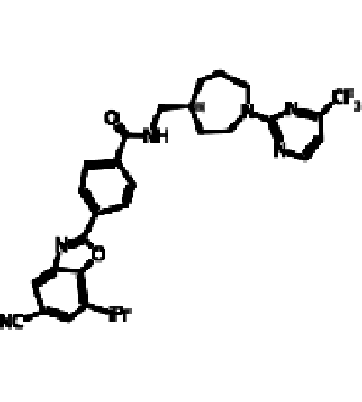 CC(C)c1cc(C#N)cc2nc(-c3ccc(C(=O)NC[C@H]4CCCN(c5nccc(C(F)(F)F)n5)CC4)cc3)oc12